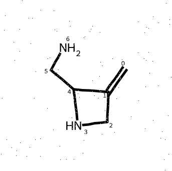 C=C1CNC1CN